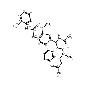 COc1cc(C(CCN(C)C(CC(=O)O)c2ccccc2)NC(C)=O)ccc1NC(=O)Nc1ccccc1C